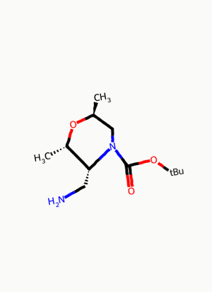 C[C@@H]1O[C@@H](C)CN(C(=O)OC(C)(C)C)[C@@H]1CN